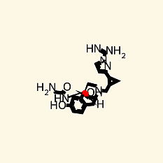 N=C(N)n1ccc(C2CC2CN2CC[C@]34C[C@H](NC(=O)CN)CC[C@@]3(O)[C@H]2Cc2ccc(O)cc24)n1